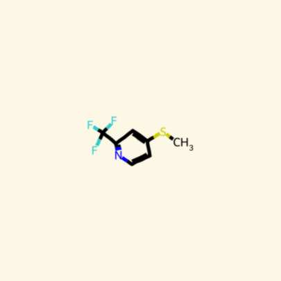 CSc1ccnc(C(F)(F)F)c1